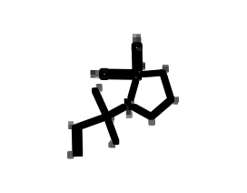 C=CC(C)(C)N1CCCS1(=O)=O